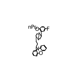 CCCOc1ccc(F)cc1N1CCN(CCCN2c3ccccc3Oc3ccccc32)CC1